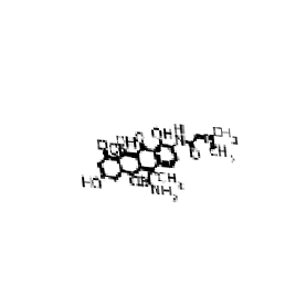 CN(C)CC(=O)Nc1ccc2c(c1O)C(=O)C1=C(O)C3(O)C(=O)CC(O)CC3C(O)C1C2(C)C(N)=O